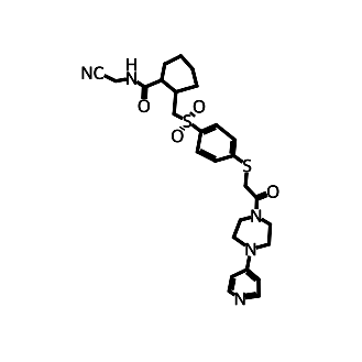 N#CCNC(=O)C1CCCCC1CS(=O)(=O)c1ccc(SCC(=O)N2CCN(c3ccncc3)CC2)cc1